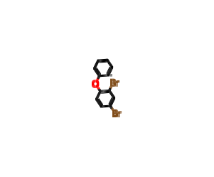 Brc1ccc(Oc2[c]cccc2)c(Br)c1